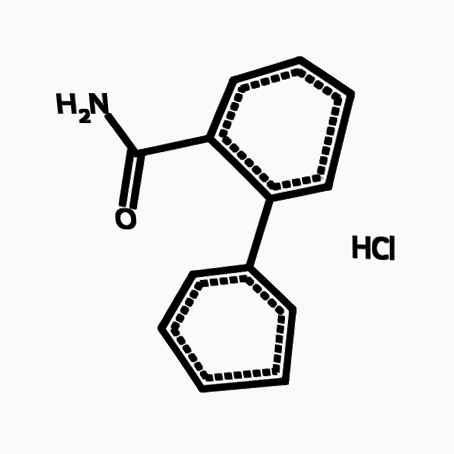 Cl.NC(=O)c1ccccc1-c1ccccc1